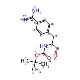 CC(C)(C)OC(=O)NC([C]=O)Cc1ccc(C(=N)N)cc1